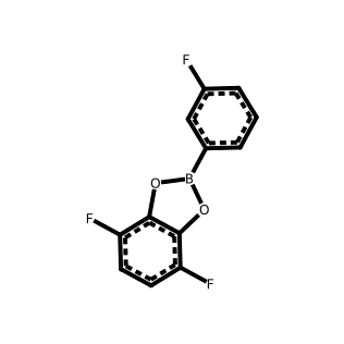 Fc1cccc(B2Oc3c(F)ccc(F)c3O2)c1